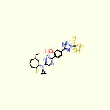 CC[C@@H]1CCC[C@H](F)[C@H](N(c2cnc(-c3ccc(-c4nnn(C(S)(S)S)n4)cc3O)nn2)C2CC2)C1